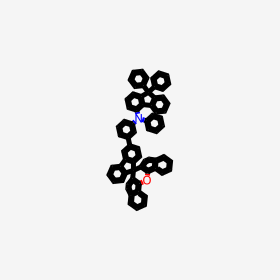 c1ccc(N(c2cccc(-c3ccc4c(c3)-c3ccccc3C43c4ccc5ccccc5c4Oc4c3ccc3ccccc43)c2)c2cccc3c2-c2ccccc2C3(c2ccccc2)c2ccccc2)cc1